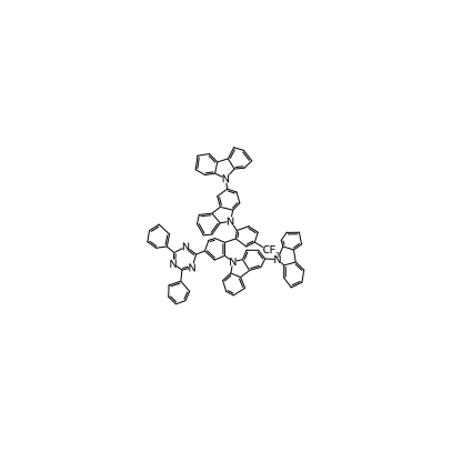 FC(F)(F)c1ccc(-n2c3ccccc3c3cc(-n4c5ccccc5c5ccccc54)ccc32)c(-c2ccc(-c3nc(-c4ccccc4)nc(-c4ccccc4)n3)cc2-n2c3ccccc3c3cc(-n4c5ccccc5c5ccccc54)ccc32)c1